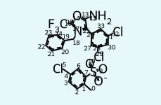 Cc1ccc(Cl)cc1S(=O)(=O)[O-].Nc1oc(C(F)(F)F)[n+](Cc2ccccc2)c1-c1cc(Cl)cc(Cl)c1